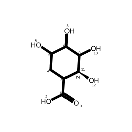 O=C(O)C1CC(O)C(O)C(O)[C@H]1O